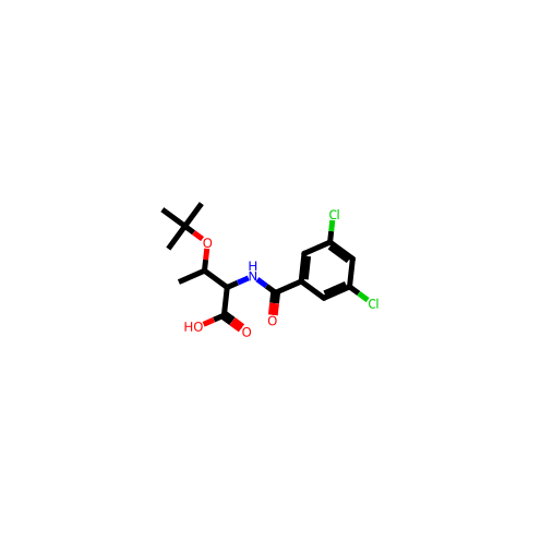 CC(OC(C)(C)C)C(NC(=O)c1cc(Cl)cc(Cl)c1)C(=O)O